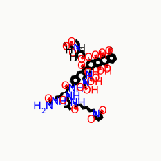 COc1cccc2c1C(=O)c1c(O)c3c(c(O)c1C2=O)C[C@@](O)(C(=O)C(Cc1ccc(NC(=O)[C@H](CCCNC(N)=O)NC(=O)[C@@H](NC(=O)CCCCCN2C(=O)C=CC2=O)C(C)C)cc1)C(CN(C)C(=O)O)N(C)C(=O)O)C[C@@H]3O[C@H]1C[C@H]2[C@H](O[C@@H]3[C@@H](OC)OCCN32)[C@H](C)O1